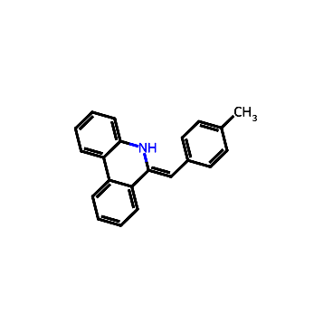 Cc1ccc(C=C2Nc3ccccc3-c3ccccc32)cc1